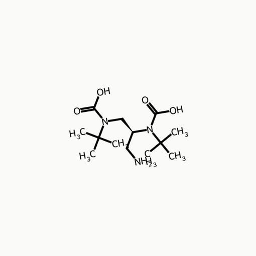 CC(C)(C)N(C[C@H](CN)N(C(=O)O)C(C)(C)C)C(=O)O